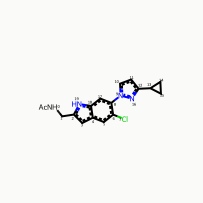 CC(=O)NCc1cc2cc(Cl)c(-n3ccc(C4CC4)n3)cc2[nH]1